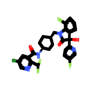 O=C(N[C@H]1CC[C@H](CN2C(=O)C(O)(c3ccc(F)cn3)c3cccc(F)c32)CC1)c1cc(Cl)cnc1C(F)F